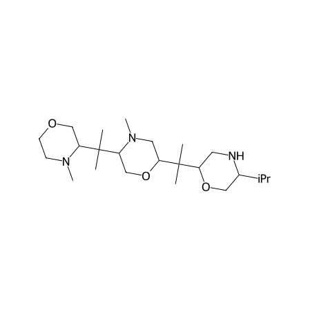 CC(C)C1COC(C(C)(C)C2CN(C)C(C(C)(C)C3COCCN3C)CO2)CN1